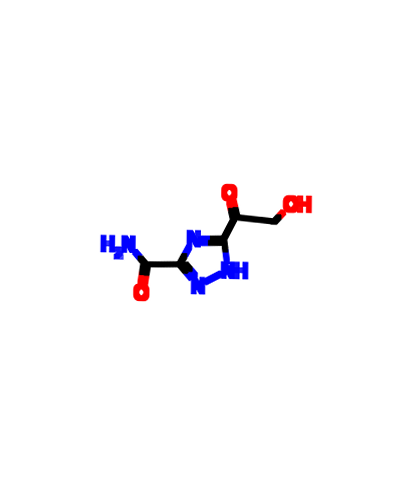 NC(=O)c1n[nH]c(C(=O)CO)n1